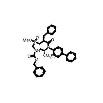 CCOC(=O)[C@H](C)N(C(=O)C(Cc1ccccc1)CP(=O)(CNC(=O)OCc1ccccc1)OC)c1ccc(-c2ccccc2)cc1